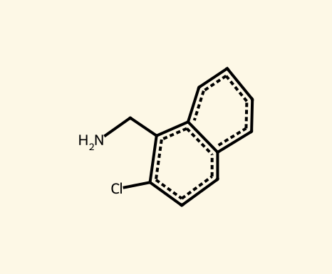 NCc1c(Cl)ccc2ccccc12